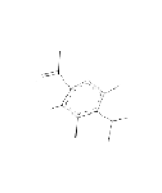 CC(=O)c1cc(C)c(C(C)C)c(C)c1C